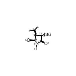 CC(C)=C1C(=O)N(I)C(=O)C1C(C)(C)C